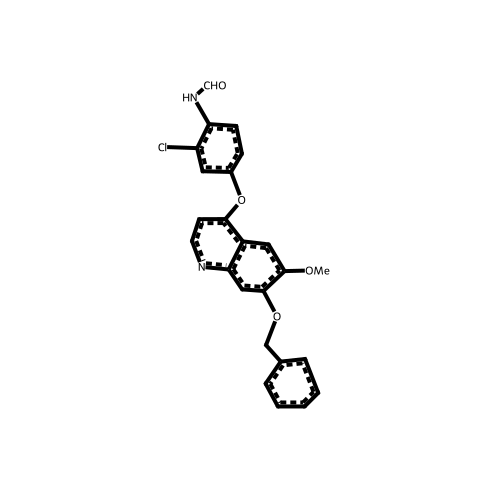 COc1cc2c(Oc3ccc(NC=O)c(Cl)c3)ccnc2cc1OCc1ccccc1